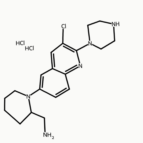 Cl.Cl.NCC1CCCCN1c1ccc2nc(N3CCNCC3)c(Cl)cc2c1